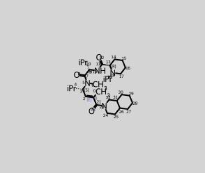 C/C(=C\[C@H](C(C)C)N(C)C(=O)[C@@H](NC(=O)[C@H]1CCCCN1C(C)C)C(C)C)C(=O)N1CCC2CCCCC2C1